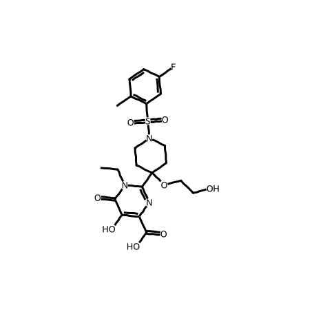 CCn1c(C2(OCCO)CCN(S(=O)(=O)c3cc(F)ccc3C)CC2)nc(C(=O)O)c(O)c1=O